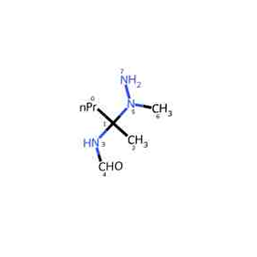 CCCC(C)(NC=O)N(C)N